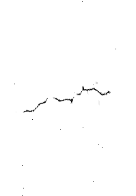 CC(=O)CCCCSCCC(=O)NCC(=O)[C@H](O)[C@@H](O)CCO